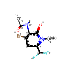 COn1c(C(F)F)cc(Br)c(N(C)C(=O)C(F)(F)F)c1=O